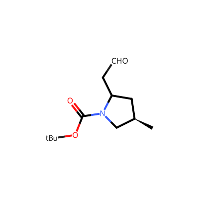 C[C@@H]1CC(CC=O)N(C(=O)OC(C)(C)C)C1